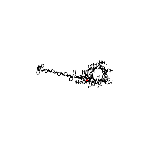 CC[C@H](C)[C@@H]1NC(=O)CNC(=O)[C@@H]2Cc3c([nH]c4c(CSCCCCNC(=O)CCOCCOCCOCCOCCN5C(=O)C=CC5=O)c(OC)ccc34)[S+]([O-])C[C@H](NC(=O)CNC1=O)C(=O)NC(CC(N)=O)C(=O)N1C[C@H](O)CC1C(=O)N[C@@H]([C@@H](C)[C@@H](O)CO)C(=O)N2